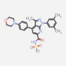 CCS(=O)(=O)NC(=O)c1cc(-c2ccc(N3CCOCC3)cc2)c2c(C)nn(-c3cc(C)cc(C)c3)c2n1